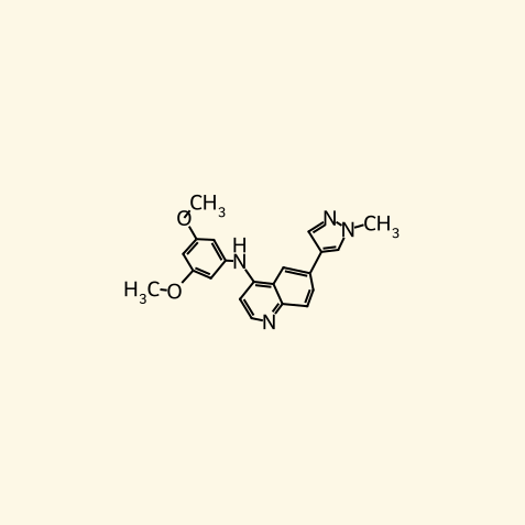 COc1cc(Nc2ccnc3ccc(-c4cnn(C)c4)cc23)cc(OC)c1